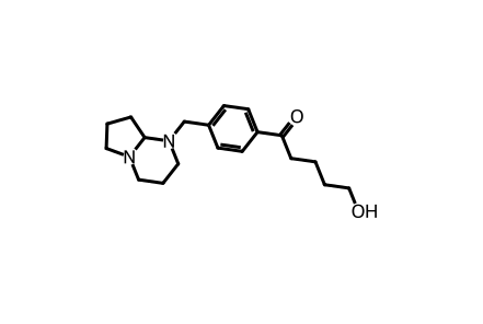 O=C(CCCCO)c1ccc(CN2CCCN3CCCC32)cc1